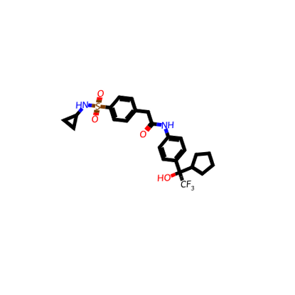 O=C(Cc1ccc(S(=O)(=O)NC2CC2)cc1)Nc1ccc(C(O)(C2CCCC2)C(F)(F)F)cc1